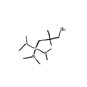 CN(C)S(CC(C)(C)CC(C)(C)C)(N(C)C)N(C)C